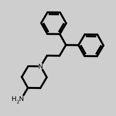 NC1CCN(CCC(c2ccccc2)c2ccccc2)CC1